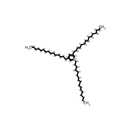 CCCCCCCCCCCCCCCCC[n+]1cc(CCCCCCCCCCCCCCC)cc(CCCCCCCCCCCCCCC)c1